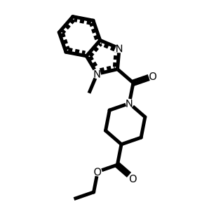 CCOC(=O)C1CCN(C(=O)c2nc3ccccc3n2C)CC1